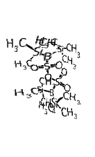 C[Si](C)(C)B([Si](C)(C)C)S(=O)(=O)OS(=O)(=O)B([Si](C)(C)C)[Si](C)(C)C